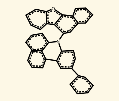 c1ccc(-c2ccc(N(c3ccccc3)c3cc4ccccc4c4oc5ccccc5c34)c(-c3ccccc3)c2)cc1